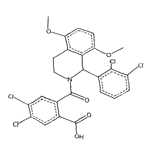 COc1ccc(OC)c2c1CCN(C(=O)c1cc(Cl)c(Cl)cc1C(=O)O)C2c1cccc(Cl)c1Cl